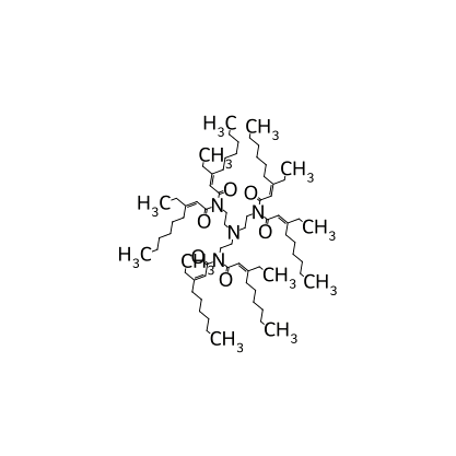 CCCCCCC(=CC(=O)N(CCN(CCN(C(=O)C=C(CC)CCCCCC)C(=O)C=C(CC)CCCCCC)CCN(C(=O)C=C(CC)CCCCCC)C(=O)C=C(CC)CCCCCC)C(=O)C=C(CC)CCCCCC)CC